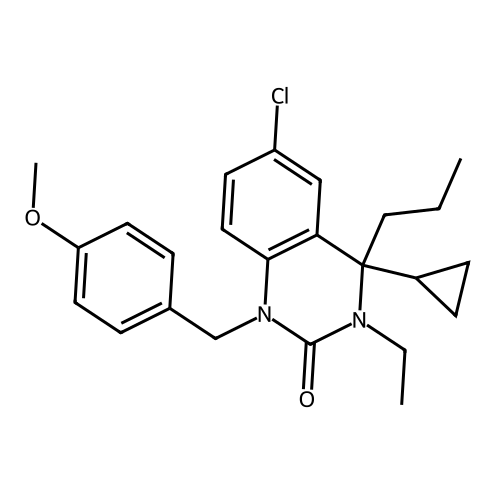 CCCC1(C2CC2)c2cc(Cl)ccc2N(Cc2ccc(OC)cc2)C(=O)N1CC